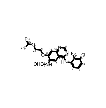 O=CNc1cc2c(Nc3cccc(Cl)c3F)ncnc2cc1OCCOC(F)F